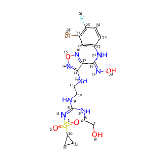 O=S(=O)(/N=C(\NCCO)NCCNc1nonc1/C(=N/O)Nc1ccc(F)c(Br)c1)C1CC1